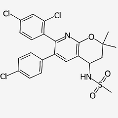 CC1(C)CC(NS(C)(=O)=O)c2cc(-c3ccc(Cl)cc3)c(-c3ccc(Cl)cc3Cl)nc2O1